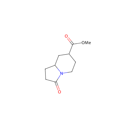 COC(=O)C1CCN2C(=O)CCC2C1